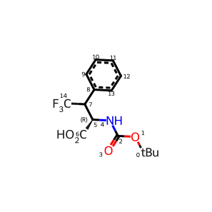 CC(C)(C)OC(=O)N[C@@H](C(=O)O)C(c1ccccc1)C(F)(F)F